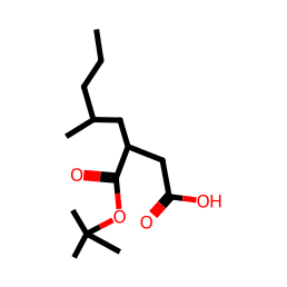 CCCC(C)CC(CC(=O)O)C(=O)OC(C)(C)C